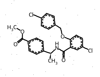 COC(=O)c1ccc([C@H](C)NC(=O)c2cc(Cl)ccc2OCc2ccc(Cl)cc2)cc1